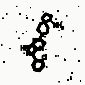 N[C@H]1CCCC12CCN(c1cnc3c(-c4ccccc4Cl)n[nH]c3n1)CC2